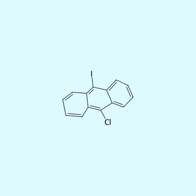 Clc1c2ccccc2c(I)c2ccccc12